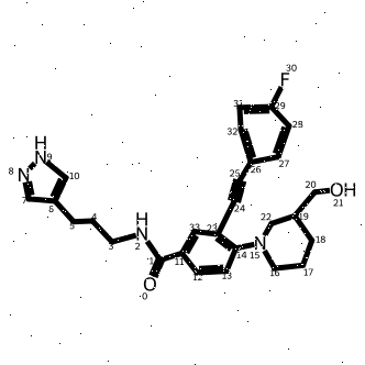 O=C(NCCCc1cn[nH]c1)c1ccc(N2CCCC(CO)C2)c(C#Cc2ccc(F)cc2)c1